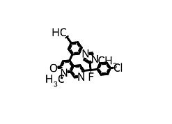 C#Cc1cccc(-c2cc(=O)n(C)c3cnc([C@](F)(c4ccc(Cl)cc4)c4cncn4C)cc23)c1